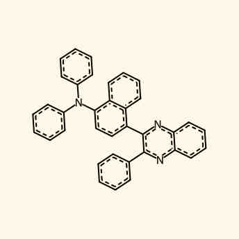 c1ccc(-c2nc3ccccc3nc2-c2ccc(N(c3ccccc3)c3ccccc3)c3ccccc23)cc1